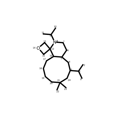 CC(C)C1CC2CCN(C(C)C)C3(COC3)C2CCCCC(C)(C)C1